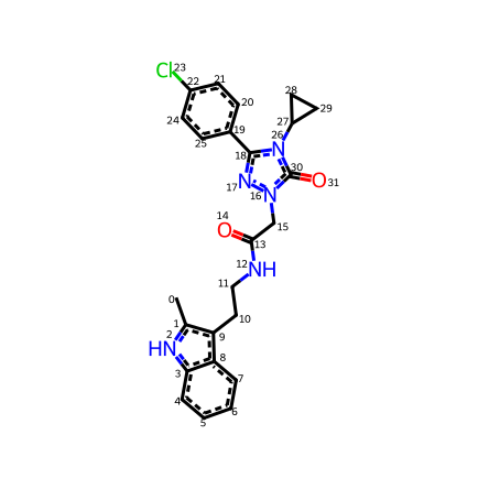 Cc1[nH]c2ccccc2c1CCNC(=O)Cn1nc(-c2ccc(Cl)cc2)n(C2CC2)c1=O